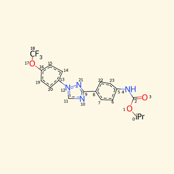 CC(C)OC(=O)Nc1ccc(-c2ncn(-c3ccc(OC(F)(F)F)cc3)n2)cc1